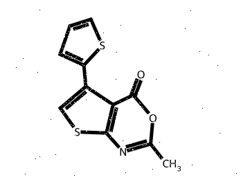 Cc1nc2scc(-c3cccs3)c2c(=O)o1